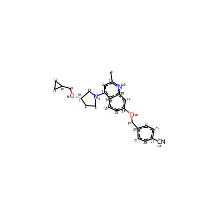 Cc1cc(N2CC[C@H](OCC3CC3)C2)c2ccc(OCc3ccc(C#N)cc3)cc2n1